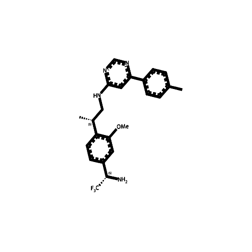 COc1cc([C@H](N)C(F)(F)F)ccc1[C@H](C)CNc1cc(-c2ccc(C)cc2)ncn1